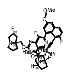 CCc1nc(-c2cc(OCOC)cc3ccc(F)c(C#C[Si](C(C)C)(C(C)C)C(C)C)c23)c(F)c2nc(OC[C@@]34CCCN3C[C@H](F)C4)nc(N3C[C@H]4CC[C@@H](C3)N4C(=O)OC(C)(C)C)c12